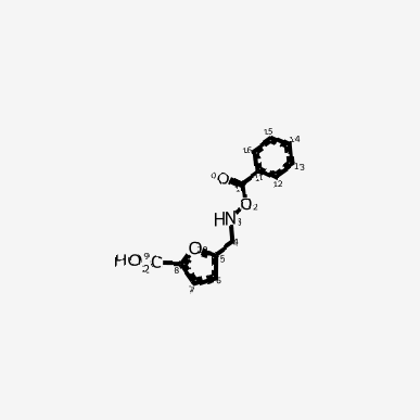 O=C(ONCc1ccc(C(=O)O)o1)c1ccccc1